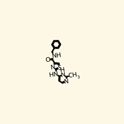 CC1N=CC=C(Nc2nc(C(=O)NCc3ccccc3)cs2)N1